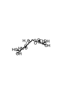 C=CC(C/C=C\COC(=O)CCN(CCCN(CCO)CCO)C(C)=O)CC/C=C/COC(=O)CCNCCCN(CCO)CCO